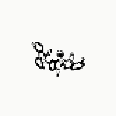 COc1ccc(NC(=O)c2ccncc2-c2ccccc2)cc1S(=O)(=O)Nc1c(C)cccc1C